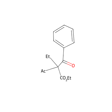 CCOC(=O)C(CC)(C(C)=O)C(=O)c1ccccc1